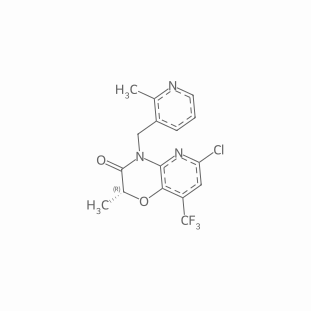 Cc1ncccc1CN1C(=O)[C@@H](C)Oc2c(C(F)(F)F)cc(Cl)nc21